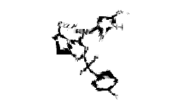 Cc1cc(Nc2nc(C(F)(F)c3ccc(F)cc3)nc3ccc(C(=O)O)n23)n[nH]1